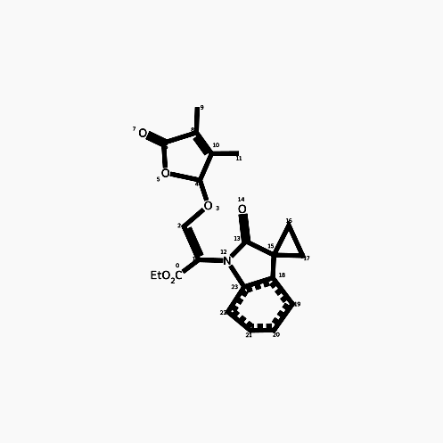 CCOC(=O)/C(=C/OC1OC(=O)C(C)=C1C)N1C(=O)C2(CC2)c2ccccc21